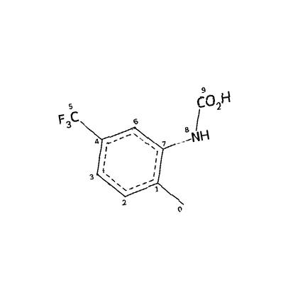 Cc1ccc(C(F)(F)F)cc1NC(=O)O